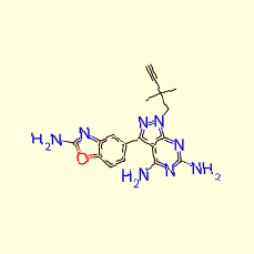 C#CC(C)(C)Cn1nc(-c2ccc3oc(N)nc3c2)c2c(N)nc(N)nc21